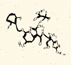 Cc1cc(OCc2c(F)cccc2F)n2nc(C)c(C(=O)NC(C)(CO)c3nnc(C)s3)c2c1.O=C(O)C(F)(F)F